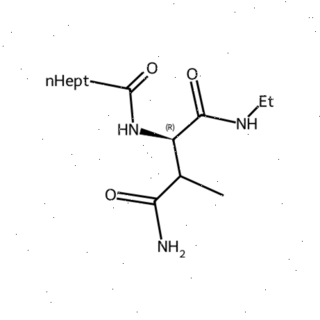 CCCCCCCC(=O)N[C@@H](C(=O)NCC)C(C)C(N)=O